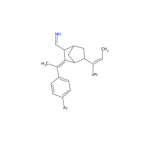 C/C=C(/CCC)C1CC2CC1/C(=C(/C)c1ccc(C(C)=O)cc1)C2C=N